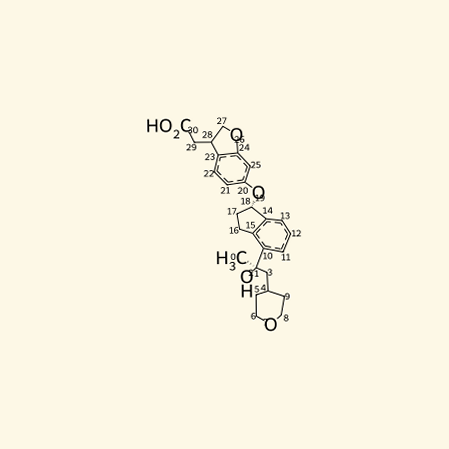 C[C@@](O)(CC1CCOCC1)c1cccc2c1CC[C@@H]2Oc1ccc2c(c1)OCC2CC(=O)O